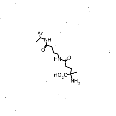 CC(=O)[C@H](C)NC(=O)CCCNC(=O)CCC(C)(N)C(=O)O